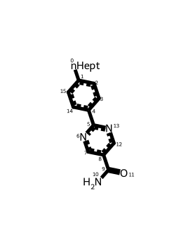 CCCCCCCc1ccc(-c2ncc(C(N)=O)cn2)cc1